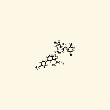 Cc1ncc(-c2cc3c(C(C)O)nn(CC(=O)N4C[C@H]5C[C@H]5[C@H]4C(=O)Nc4nc(Br)ccc4C)c3cn2)cn1